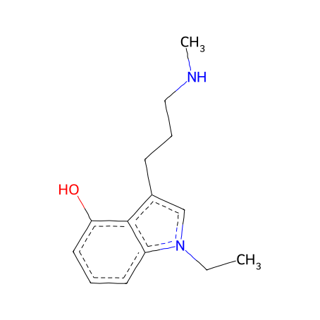 CCn1cc(CCCNC)c2c(O)cccc21